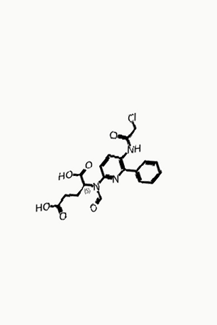 O=CN(c1ccc(NC(=O)CCl)c(-c2ccccc2)n1)[C@@H](CCC(=O)O)C(=O)O